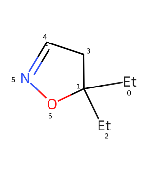 CCC1(CC)C[C]=NO1